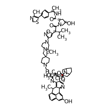 Cc1ncsc1-c1ccc([C@H](C)NC(=O)[C@@H]2C[C@@H](O)CN2C(=O)[C@H](c2cc(N3CCN(CC4(F)CCN(CCOc5nc(N6CC7CCC(C6)N7C(=O)OC(C)(C)C)c6cnc7c(c6n5)C(C)c5cccc6cc(O)cc-7c56)CC4)[C@@H](C)C3)no2)C(C)C)cc1